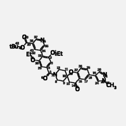 CCOc1cc(C(=O)N2CCC3(CC2)CC(=O)c2cc(-c4cnn(C)c4)ccc2O3)cc(OCC)c1-c1cncc(C(=O)OC(C)(C)C)c1